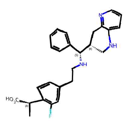 C[C@@H](C(=O)O)c1ccc(CCN[C@H](c2ccccc2)[C@H]2CNc3cccnc3C2)cc1F